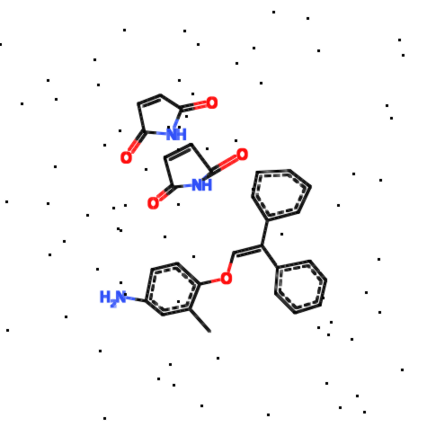 Cc1cc(N)ccc1OC=C(c1ccccc1)c1ccccc1.O=C1C=CC(=O)N1.O=C1C=CC(=O)N1